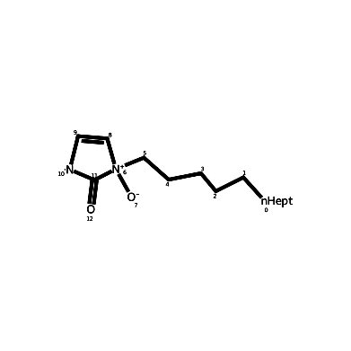 CCCCCCCCCCCC[N+]1([O-])C=C[N]C1=O